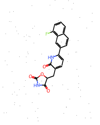 O=C1NC(=O)C(Cc2ccc(-c3ccc4cccc(F)c4c3)[nH]c2=O)O1